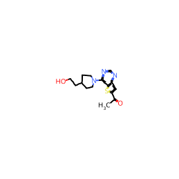 CC(=O)c1cc2ncnc(N3CCC(CCO)CC3)c2s1